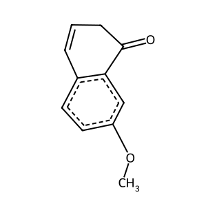 COc1ccc2c(c1)C(=O)CC=C2